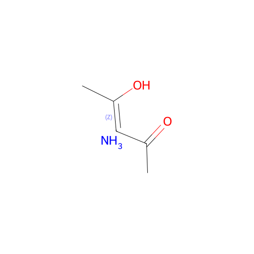 CC(=O)/C=C(/C)O.N